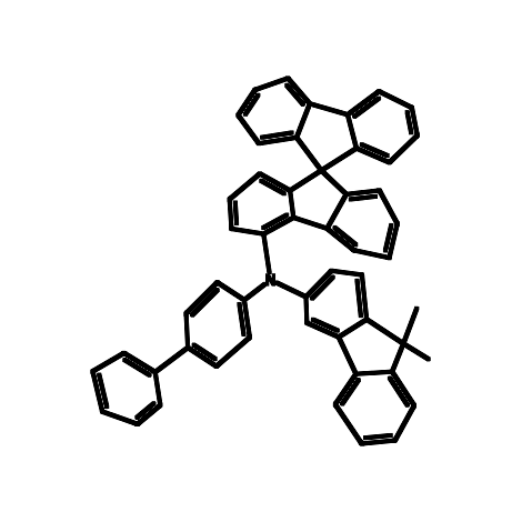 CC1(C)c2ccccc2-c2cc(N(c3ccc(-c4ccccc4)cc3)c3cccc4c3-c3ccccc3C43c4ccccc4-c4ccccc43)ccc21